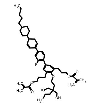 C=C(C)C(=O)OCCCc1cc(-c2ccc(C3=CCC(C4CCC(CCCCC)CC4)C=C3)cc2F)cc(CCCOC(=O)C(=C)C)c1OCCC(CO)(CO)CCC